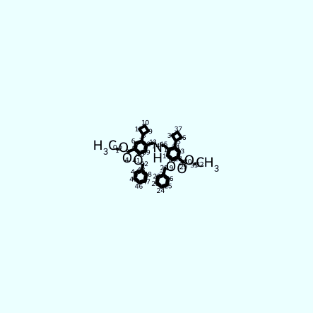 CCOC(=O)c1cc(C2CCC2)c(CNCc2cc(OCc3ccccc3)c(C(=O)OCC)cc2C2CCC2)cc1OCc1ccccc1